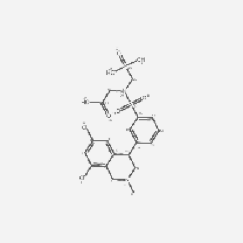 CN1Cc2c(Cl)cc(Cl)cc2C(c2cccc(S(=O)(=O)N(CC(=O)O)CP(=O)(O)O)c2)C1